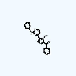 CC(C)n1c(-c2ccnc(Nc3ccccc3)n2)cnc1C(=O)c1ccncc1